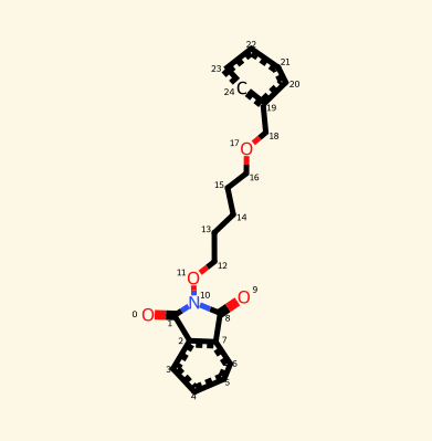 O=C1c2ccccc2C(=O)N1OCCCCCOCc1ccccc1